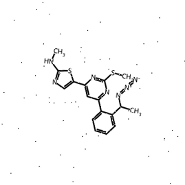 CNc1ncc(-c2cc(-c3ccccc3C(C)N=[N+]=[N-])nc(SC)n2)s1